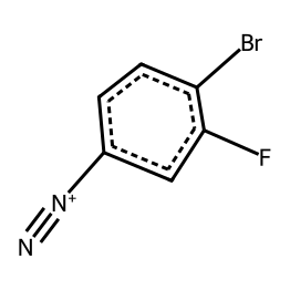 N#[N+]c1ccc(Br)c(F)c1